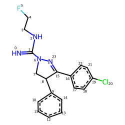 N=C(NCCF)N1CC(c2ccccc2)C(c2ccc(Cl)cc2)=N1